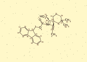 CC#C[C@@]1([C@@H](NC(=O)OCC2c3ccccc3-c3ccccc32)C(=O)O)CCC[N+](C)(C)C1